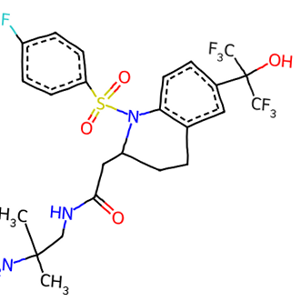 CC(C)(N)CNC(=O)CC1CCc2cc(C(O)(C(F)(F)F)C(F)(F)F)ccc2N1S(=O)(=O)c1ccc(F)cc1